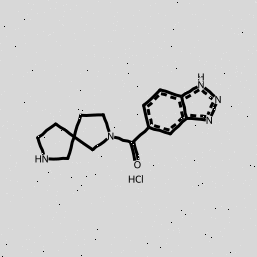 Cl.O=C(c1ccc2[nH]nnc2c1)N1CCC2(CCNC2)C1